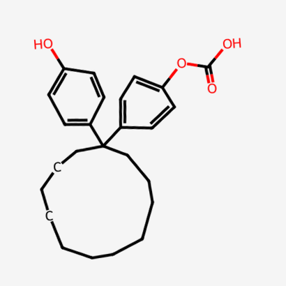 O=C(O)Oc1ccc(C2(c3ccc(O)cc3)CCCCCCCCCCC2)cc1